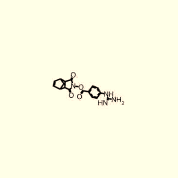 N=C(N)Nc1ccc(C(=O)ON2C(=O)C3C4C=CC(C4)C3C2=O)cc1